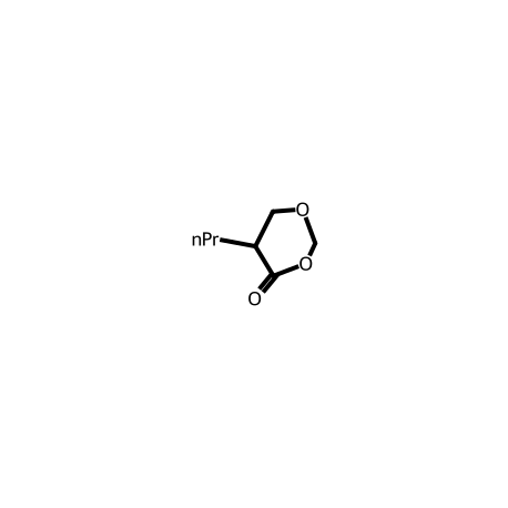 CCCC1COCOC1=O